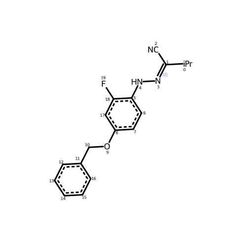 CC(C)/C(C#N)=N/Nc1ccc(OCc2ccccc2)cc1F